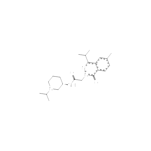 Cc1ccc2c(=O)n(CC(=O)N[C@@H]3CCCN(C(C)C)C3)nc(C(C)C)c2c1